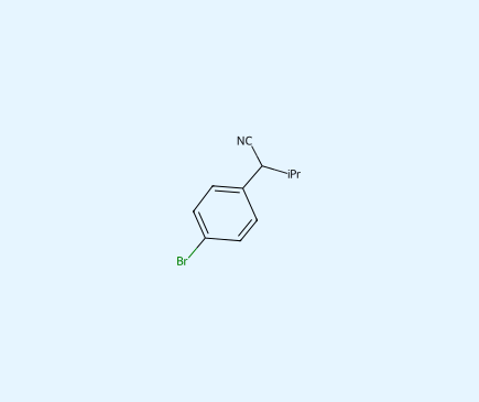 CC(C)C(C#N)c1ccc(Br)cc1